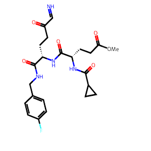 COC(=O)CC[C@H](NC(=O)C1CC1)C(=O)N[C@@H](CCC(=O)C=N)C(=O)NCc1ccc(F)cc1